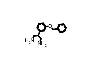 NCC(CN)c1cccc(OCc2ccccc2)c1